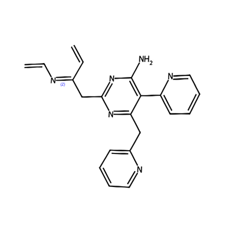 C=C/N=C(\C=C)Cc1nc(N)c(-c2ccccn2)c(Cc2ccccn2)n1